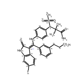 CC(C)(C(N)=O)N(c1ccc(N/C(=C2\C(=O)Nc3cc(F)ccc32)c2cccc(CCC(=O)O)c2)cc1)S(C)(=O)=O